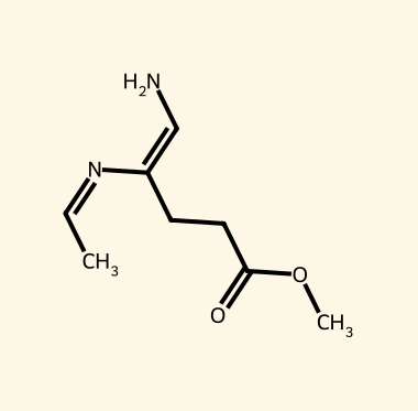 C/C=N\C(=C/N)CCC(=O)OC